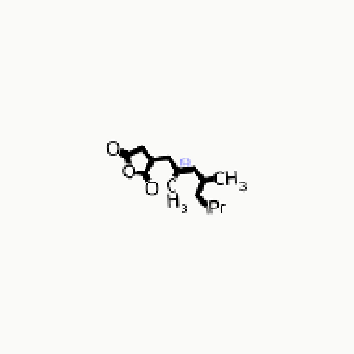 C/C(=C\C(C)CC(C)C)CC1CC(=O)OC1=O